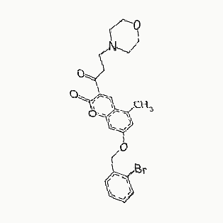 Cc1cc(OCc2ccccc2Br)cc2oc(=O)c(C(=O)CCN3CCOCC3)cc12